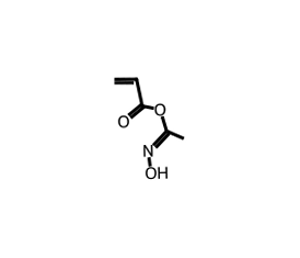 C=CC(=O)OC(C)=NO